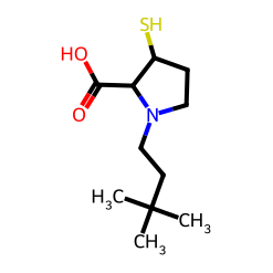 CC(C)(C)CCN1CCC(S)C1C(=O)O